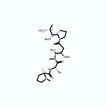 CC[C@H](C)[C@@H]([C@@H](CC(=O)N1CCC[C@H]1[C@H](OC)[C@@H](C)C(=O)O)OC)N(C)C(=O)[C@@H](NC(=O)[C@]1(C)CCCN1C)C(C)C